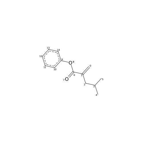 C=C(CC(C)C)C(=O)Oc1ccccc1